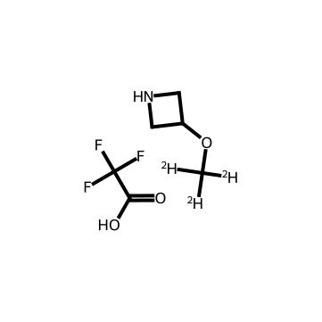 O=C(O)C(F)(F)F.[2H]C([2H])([2H])OC1CNC1